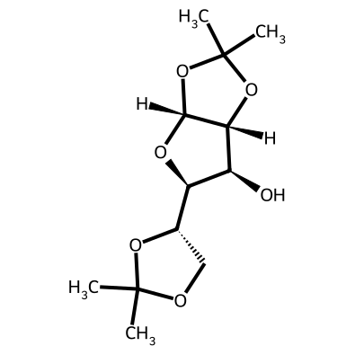 CC1(C)O[C@H]2O[C@H]([C@@H]3COC(C)(C)O3)[C@H](O)[C@H]2O1